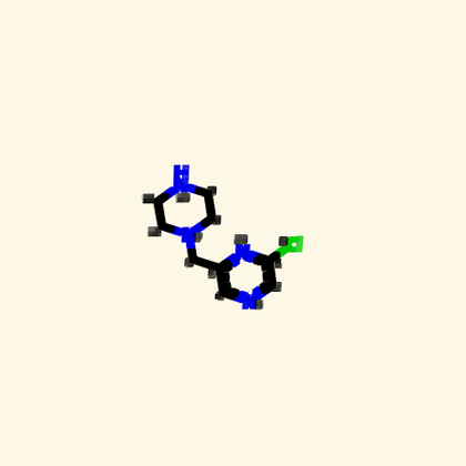 Clc1cncc(CN2CCNCC2)n1